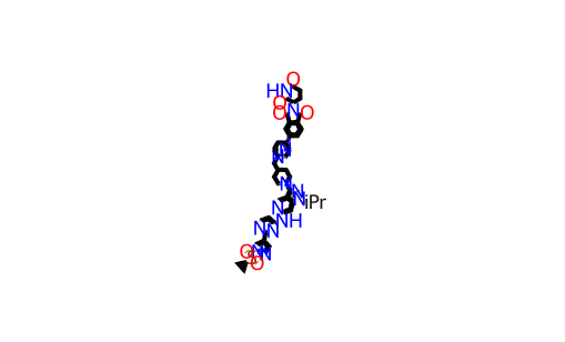 CC(C)n1nc(N2CCC(CN3CC4CCC3CN4c3ccc4c(c3)C(=O)N(C3CCC(=O)NC3=O)C4=O)CC2)c2cnc(Nc3ccnc(-c4cnn(S(=O)(=O)C5CC5)c4)n3)cc21